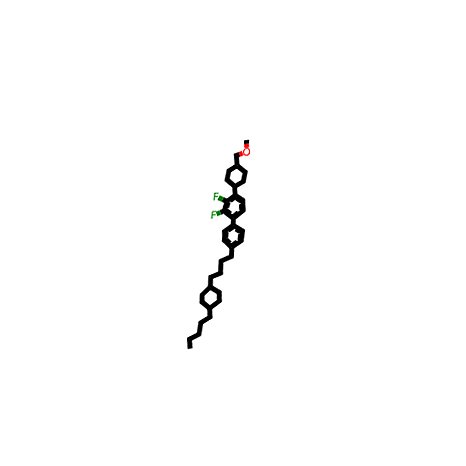 CCCCCC1CCC(CCCCc2ccc(-c3ccc(C4CCC(COC)CC4)c(F)c3F)cc2)CC1